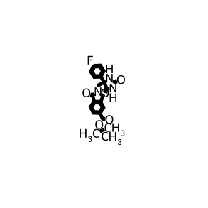 CC(C)(C)OC(=O)c1ccc2c(c1)CN(CC1(c3ccc(F)cc3)NC(=O)NC1=O)C2=O